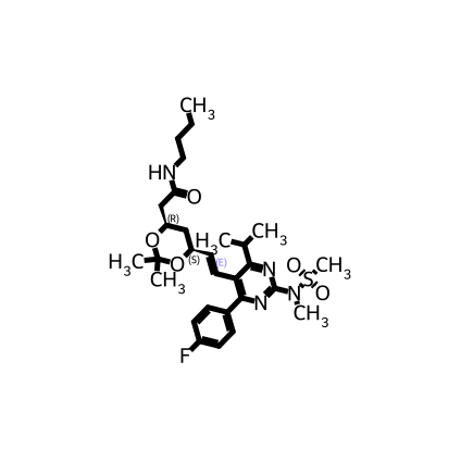 CCCCNC(=O)C[C@H]1C[C@@H](/C=C/c2c(-c3ccc(F)cc3)nc(N(C)S(C)(=O)=O)nc2C(C)C)OC(C)(C)O1